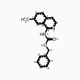 Cc1ccc2ccnc(NC(=O)OCc3ccccc3)c2c1